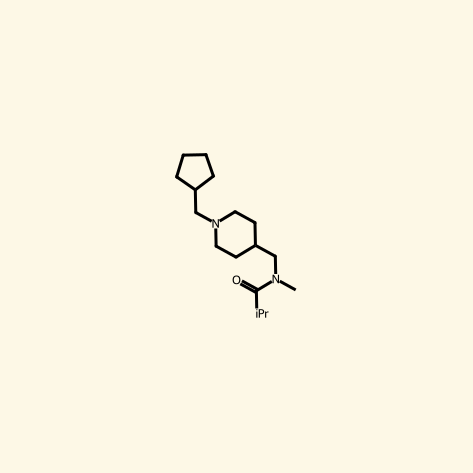 CC(C)C(=O)N(C)CC1CCN(CC2CCCC2)CC1